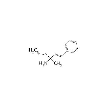 C=CCC(C)(N)C=Cc1ccccc1